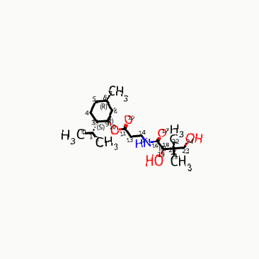 CC(C)[C@@H]1CC[C@@H](C)C[C@H]1OC(=O)CCNC(=O)[C@H](O)C(C)(C)CO